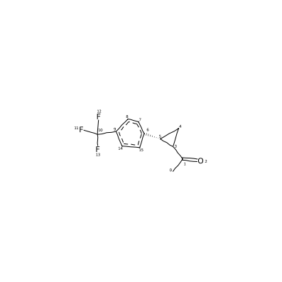 CC(=O)C1C[C@H]1c1ccc(C(F)(F)F)cc1